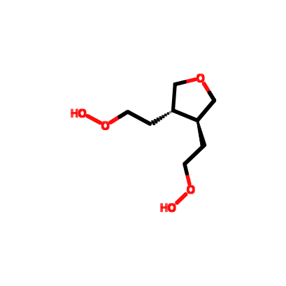 OOCC[C@@H]1COC[C@H]1CCOO